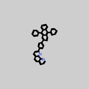 c1ccc(-c2c3ccccc3c(-c3ccccc3)c3cc(-c4ccc(-c5ccc6ccc7cccnc7c6n5)cc4)ccc23)cc1